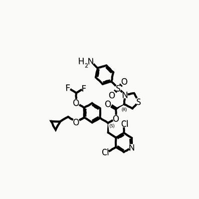 Nc1ccc(S(=O)(=O)N2CSC[C@H]2C(=O)O[C@@H](Cc2c(Cl)cncc2Cl)c2ccc(OC(F)F)c(OCC3CC3)c2)cc1